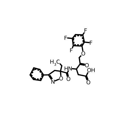 CCC1(C(=O)NC(CC(=O)O)C(=O)COc2c(F)c(F)cc(F)c2F)CC(c2ccccc2)=NO1